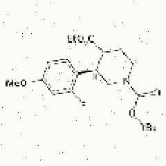 CCOC(=O)C1CCN(C(=O)OC(C)(C)C)C[C@H]1c1ccc(OC)cc1F